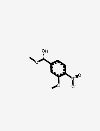 COc1cc([C@@H](O)OC)ccc1[N+](=O)[O-]